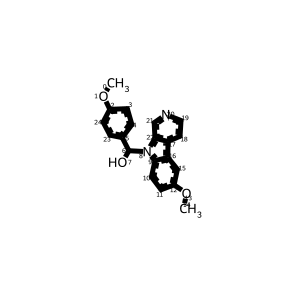 COc1ccc(C(O)n2c3ccc(OC)cc3c3ccncc32)cc1